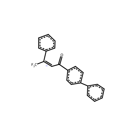 O=C(/C=C(\c1ccccc1)C(F)(F)F)c1ccc(-c2ccccc2)cc1